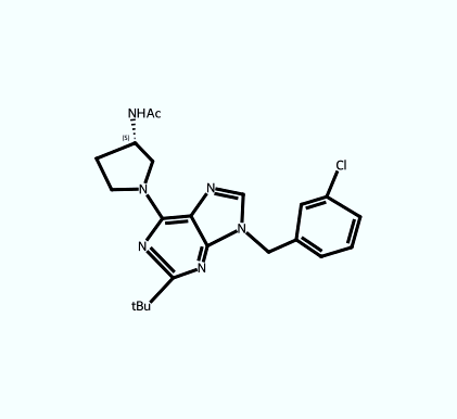 CC(=O)N[C@H]1CCN(c2nc(C(C)(C)C)nc3c2ncn3Cc2cccc(Cl)c2)C1